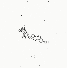 C[C@]12CCC3c4ccc(O)cc4CCC3C1CC[C@@H]2OC(=O)[C@@H]1CCCN1C(=O)CS(N)(=O)=O